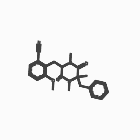 COc1cccc(C#N)c1CC1C(=O)N(C)C(C)(Cc2ccccc2)C(=O)N1C